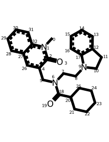 Cn1c(=O)c(CN(CCN2CCc3ccccc32)C(=O)C2CCCCC2)cc2ccccc21